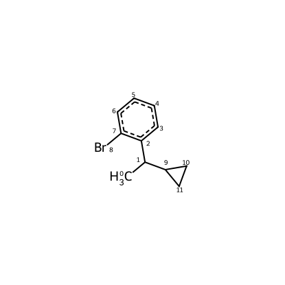 CC(c1ccccc1Br)C1CC1